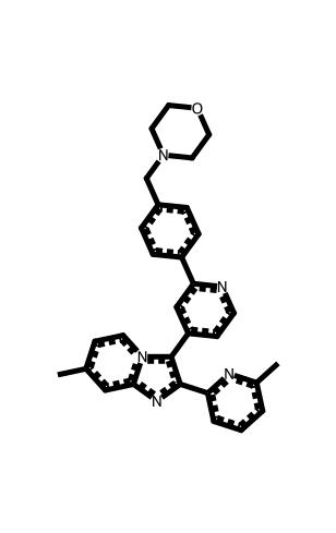 Cc1ccn2c(-c3ccnc(-c4ccc(CN5CCOCC5)cc4)c3)c(-c3cccc(C)n3)nc2c1